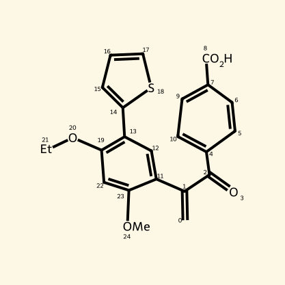 C=C(C(=O)c1ccc(C(=O)O)cc1)c1cc(-c2cccs2)c(OCC)cc1OC